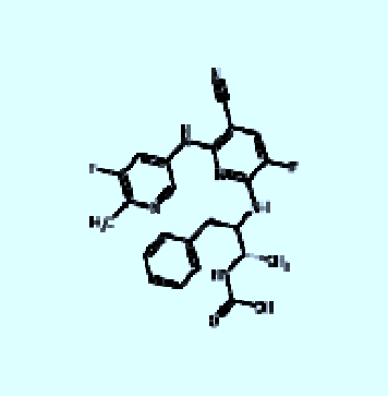 Cc1ncc(Nc2nc(N[C@H](Cc3ccccc3)[C@H](C)NC(=O)O)c(F)cc2C#N)cc1F